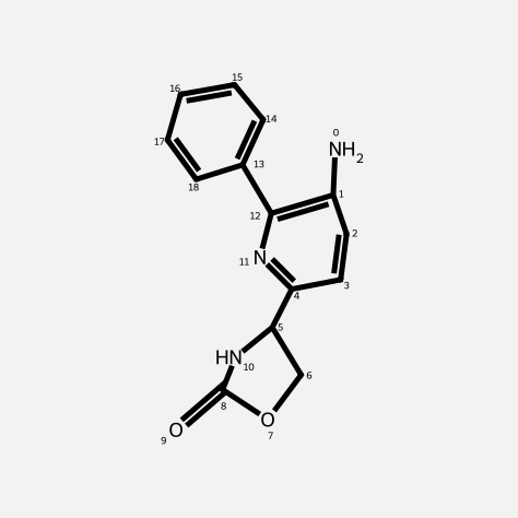 Nc1ccc(C2COC(=O)N2)nc1-c1ccccc1